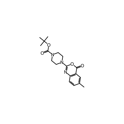 Cc1ccc2nc(N3CCN(C(=O)OC(C)(C)C)CC3)oc(=O)c2c1